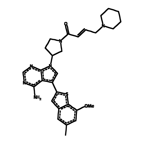 COc1cc(C)cc2cc(-c3cn(C4CCN(C(=O)C=CCN5CCCCC5)C4)c4ncnc(N)c34)sc12